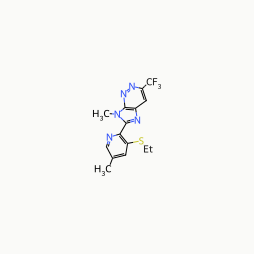 CCSc1cc(C)cnc1-c1nc2cc(C(F)(F)F)nnc2n1C